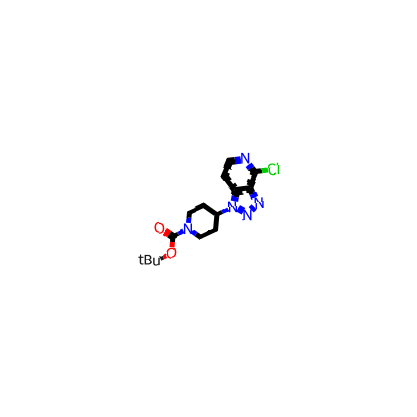 CC(C)(C)OC(=O)N1CCC(n2nnc3c(Cl)nccc32)CC1